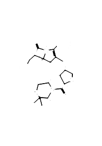 C[C@@H](O)[C@H]1C(=O)N2C(C(=O)O)=C(S[C@@H]3CN[C@H](C(=O)N4CCNC(C)(C)C4)C3)[C@H](C)[C@H]12.Cl